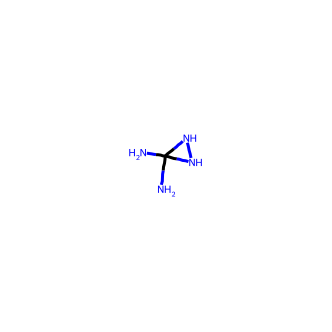 NC1(N)NN1